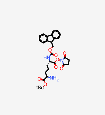 CC(C)(C)OC(=O)C(N)CCC[C@H](NC(=O)OCC1c2ccccc2-c2ccccc21)C(=O)ON1C(=O)CCC1=O